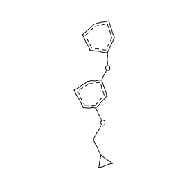 c1ccc(Oc2cccc(OCC3CC3)c2)cc1